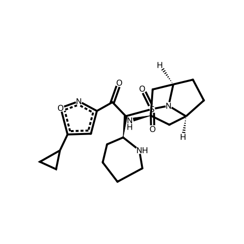 O=C(N[C@H]1C[C@H]2CC[C@@H](C1)N2S(=O)(=O)C[C@@H]1CCCCN1)c1cc(C2CC2)on1